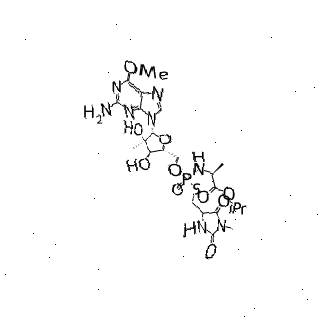 COc1nc(N)nc2c1ncn2[C@@H]1O[C@H](CO[P@@](=O)(N[C@@H](C)C(=O)OC(C)C)SCC2NC(=O)N(C)C2=O)[C@@H](O)[C@@]1(C)O